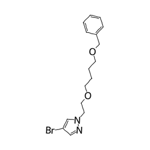 Brc1cnn(CCOCCCCOCc2ccccc2)c1